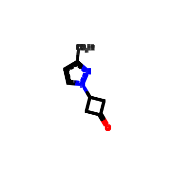 CCOC(=O)c1ccn(C2CC(=O)C2)n1